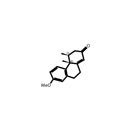 COc1ccc2c(c1)CCC1=CC(=O)C[C@H](C)[C@]12C